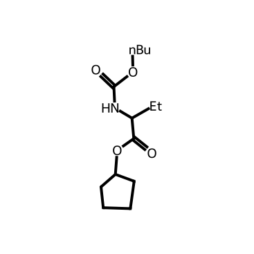 CCCCOC(=O)NC(CC)C(=O)OC1CCCC1